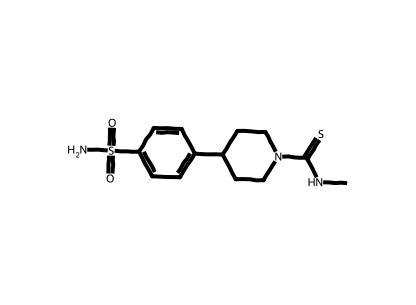 CNC(=S)N1CCC(c2ccc(S(N)(=O)=O)cc2)CC1